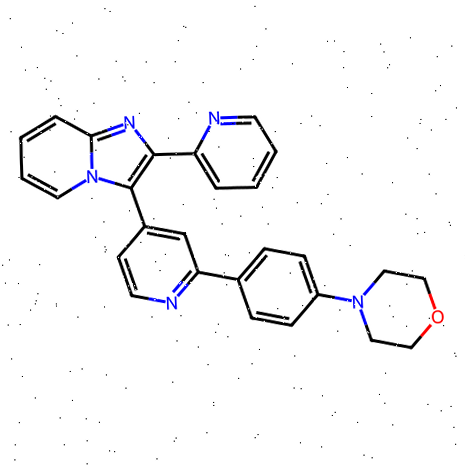 c1ccc(-c2nc3ccccn3c2-c2ccnc(-c3ccc(N4CCOCC4)cc3)c2)nc1